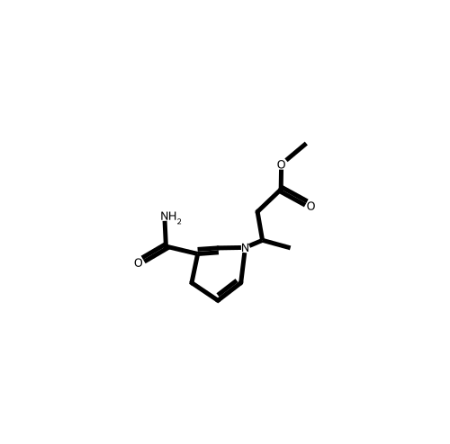 COC(=O)CC(C)N1C=CCC(C(N)=O)=C1